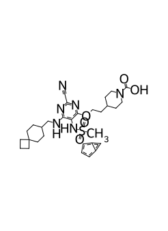 CS(=O)(=O)Nc1c(NCC2CCC3(CCC3)CC2)nc(C#N)nc1OCCC1CCN(C(=O)O)CC1.c1cc2cc-2c1